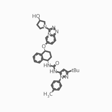 Cc1ccc(-n2nc(C(C)(C)C)cc2NC(=O)N[C@H]2CC[C@@H](Oc3ccc4nnc(N5CC[C@@H](O)C5)n4c3)c3ccccc32)cc1